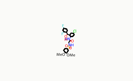 COc1ccc(S(=O)(=O)NCC(=O)Nc2ccc(Cl)cc2C(O)c2ccc(F)cc2F)cc1OC